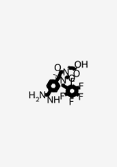 C[C@]1(c2ccc(C(=N)N)cc2)C(=O)N(CC(=O)O)C(=O)N1Cc1c(F)c(F)c(F)c(F)c1F